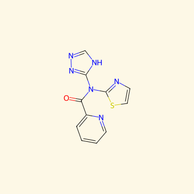 O=C(c1ccccn1)N(c1nnc[nH]1)c1nccs1